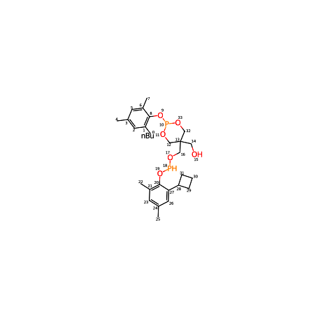 CCCCc1cc(C)cc(C)c1OP1OCC(CO)(COPOc2c(C)cc(C)cc2C2CCC2)CO1